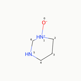 [O-][NH+]1CCCNC1